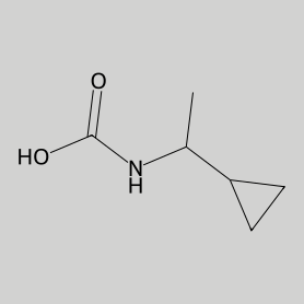 CC(NC(=O)O)C1CC1